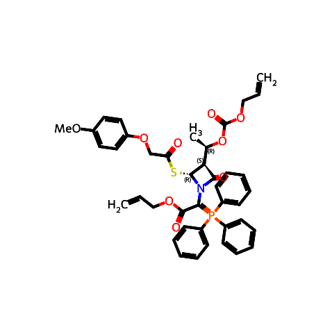 C=CCOC(=O)O[C@H](C)[C@H]1C(=O)N(C(C(=O)OCC=C)=P(c2ccccc2)(c2ccccc2)c2ccccc2)[C@@H]1SC(=O)COc1ccc(OC)cc1